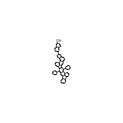 N#Cc1ccc2cc(-c3ccc4c(ccc5cc6c7c(-c8ccccc8)c8c(cc9c%10ccccc%10c%10cccc8c%109)c(-c8ccccc8)c7c7cccc(c54)c76)c3)ccc2c1